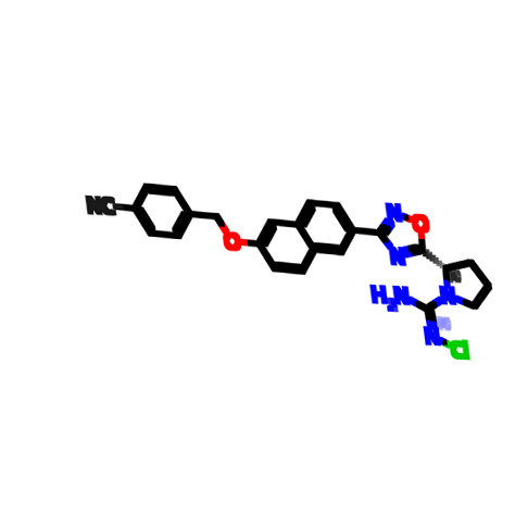 N#Cc1ccc(COc2ccc3cc(-c4noc([C@@H]5CCCN5/C(N)=N\Cl)n4)ccc3c2)cc1